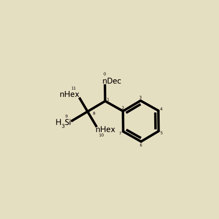 CCCCCCCCCCC(c1ccccc1)C([SiH3])(CCCCCC)CCCCCC